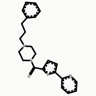 O=C(c1ccc(-c2ccccn2)s1)N1CCN(CCCc2ccccc2)CC1